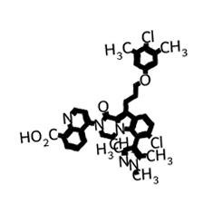 Cc1cc(OCCCc2c3n(c4c(-c5c(C)nn(C)c5C)c(Cl)ccc24)[C@H](C)CN(c2ccnc4c(C(=O)O)cccc24)C3=O)cc(C)c1Cl